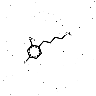 CCC[CH]Cc1ccc(F)cc1C